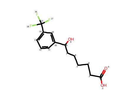 O=C(O)CCCCCC(O)c1cccc(C(F)(F)F)c1